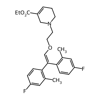 CCOC(=O)C1=CCCN(CCOC=C(c2ccc(F)cc2C)c2ccc(F)cc2C)C1